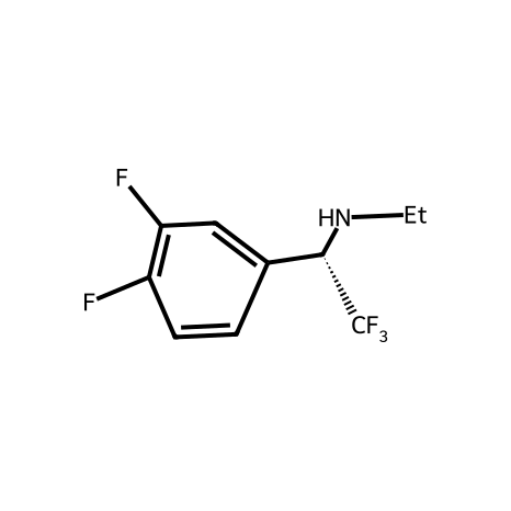 CCN[C@@H](c1ccc(F)c(F)c1)C(F)(F)F